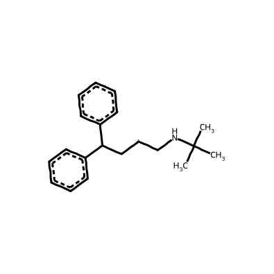 CC(C)(C)NC[CH]CC(c1ccccc1)c1ccccc1